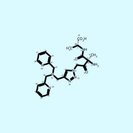 C[C@@H](NC(=O)[C@@](C)(N)C(=O)Cn1cc(CN(Cc2ccccn2)Cc2ccccn2)nn1)C(=O)O